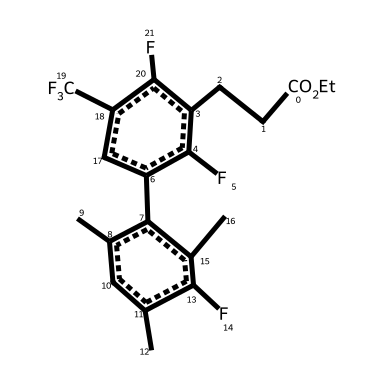 CCOC(=O)CCc1c(F)c(-c2c(C)cc(C)c(F)c2C)cc(C(F)(F)F)c1F